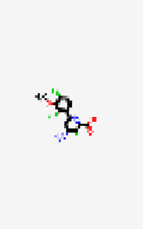 COc1c(Cl)ccc(-c2cc(N)c(Cl)c(C(=O)O)n2)c1Cl